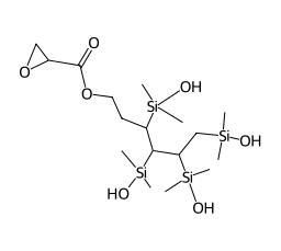 C[Si](C)(O)CC(C(C(CCOC(=O)C1CO1)[Si](C)(C)O)[Si](C)(C)O)[Si](C)(C)O